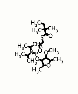 CCC(C)(C)C(=O)SCCOP(OC1C(C)OC(C)C1OC)N(C(C)C)C(C)C